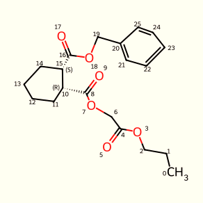 CCCOC(=O)COC(=O)[C@@H]1CCCC[C@@H]1C(=O)OCc1ccccc1